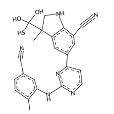 Cc1ccc(C#N)cc1Nc1nccc(-c2cc(C#N)c3c(c2)C(C)(C(O)(O)S)CN3)n1